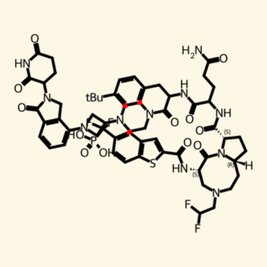 CC(C)(C)c1ccc(CC(NC(=O)C(CCC(N)=O)NC(=O)[C@@H]2CC[C@@H]3CCN(CC(F)F)C[C@H](NC(=O)c4cc5cc(C(F)(F)P(=O)(O)O)ccc5s4)C(=O)N32)C(=O)N2CCN(C3CN(c4cccc5c4CN(C4CCC(=O)NC4=O)C5=O)C3)CC2)cc1